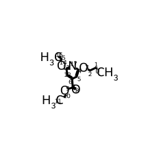 CCCOc1cc(C(=O)OCC)cc(OCC)n1